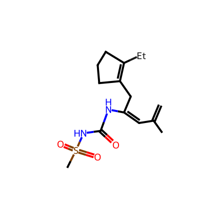 C=C(C)/C=C(\CC1=C(CC)CCC1)NC(=O)NS(C)(=O)=O